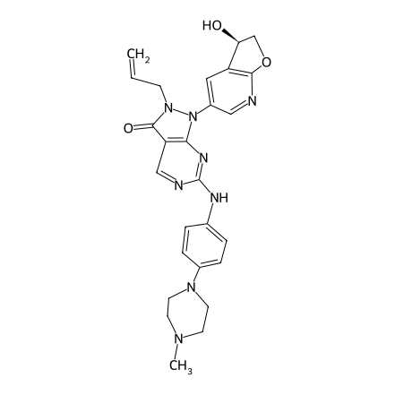 C=CCn1c(=O)c2cnc(Nc3ccc(N4CCN(C)CC4)cc3)nc2n1-c1cnc2c(c1)[C@@H](O)CO2